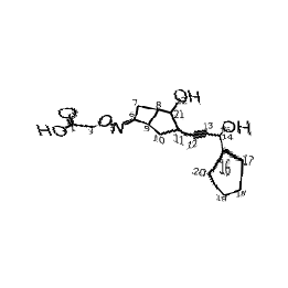 O=C(O)CON=C1CC2C1CC(C#CC(O)C1CCCC1)C2O